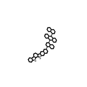 c1ccc2c(-c3c4ccccc4c(-c4ccc(-c5ccc6cc7sc8c(ccc9c%10ccccc%10sc98)c7cc6c5)c5ccccc45)c4ccccc34)cccc2c1